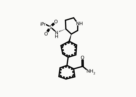 CC(C)S(=O)(=O)N[C@@H]1CCNC[C@H]1c1ccc(-c2ccccc2C(N)=O)cc1